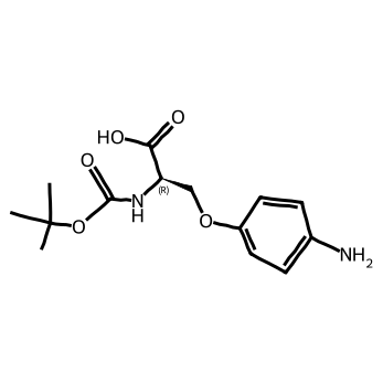 CC(C)(C)OC(=O)N[C@H](COc1ccc(N)cc1)C(=O)O